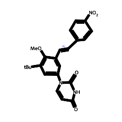 COc1c(/C=C/c2ccc([N+](=O)[O-])cc2)cc(-n2ccc(=O)[nH]c2=O)cc1C(C)(C)C